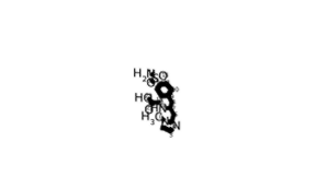 Cn1ccnc1CC(Cc1ccc(S(N)(=O)=O)cc1)NCC(=O)O